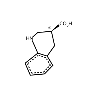 O=C(O)[C@@H]1CNc2ccccc2C1